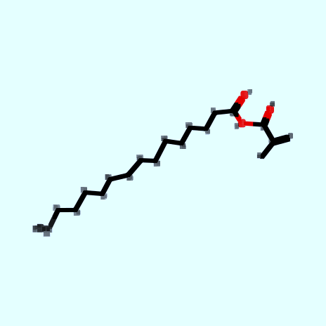 C=C(C)C(=O)OC(=O)CCCCCCCCCCCCCCCCCCCCCCC